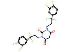 O=C1CC(=O)N(CCC(F)(F)c2ccc(F)c(F)c2)C(=O)N1CCC(F)(F)c1ccc(F)c(F)c1